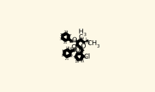 CC[C@H]1O[C@@](O)(Cc2ccccc2Cl)[C@H](OCc2ccccc2)[C@@H](OCc2ccccc2)[C@@H]1C